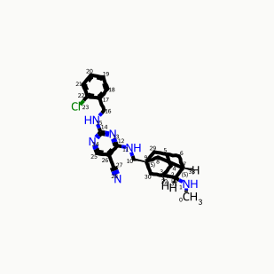 CN[C@@H]1[C@@H]2CC3C[C@H]1C[C@@](CNc1nc(NCc4ccccc4Cl)ncc1C#N)(C3)C2